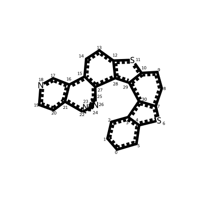 c1ccc2c(c1)sc1ccc3sc4ccc5c6cnccc6c6nccn6c5c4c3c12